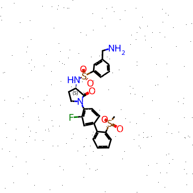 CS(=O)(=O)c1ccccc1-c1ccc(N2CC[C@H](NS(=O)(=O)c3cccc(CN)c3)C2=O)c(F)c1